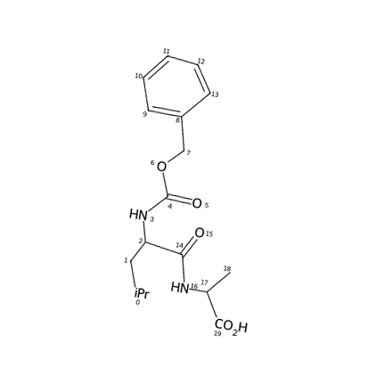 CC(C)CC(NC(=O)OCc1ccccc1)C(=O)NC(C)C(=O)O